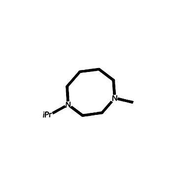 CC(C)N1CCCCN(C)CC1